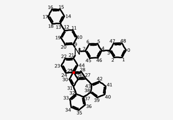 c1ccc(-c2ccc(N(c3ccc(-c4ccccc4)cc3)c3cccc(-c4c5cccc4-c4ccccc4-c4ccccc4-5)c3)cc2)cc1